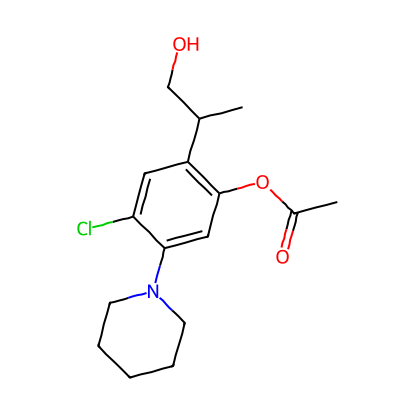 CC(=O)Oc1cc(N2CCCCC2)c(Cl)cc1C(C)CO